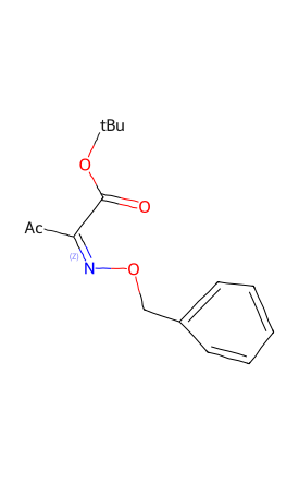 CC(=O)/C(=N/OCc1ccccc1)C(=O)OC(C)(C)C